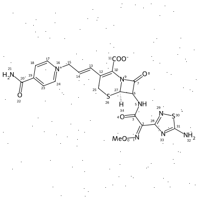 CO/N=C(\C(=O)NC1C(=O)N2C(C(=O)[O-])=C(/C=C/C[n+]3ccc(C(N)=O)cc3)CS[C@H]12)c1nsc(N)n1